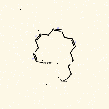 CCCCC/C=C\C/C=C\C/C=C\C/C=C\CCC[CH]OC